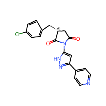 O=C1C[C@@H](Cc2ccc(Cl)cc2)C(=O)N1c1cc(-c2ccncc2)n[nH]1